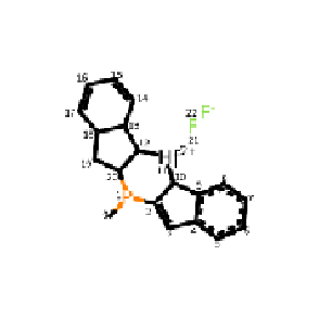 CP1C2=Cc3ccccc3[CH]2[Hf+2][CH]2C3C=CC=CC3CC21.[F-].[F-]